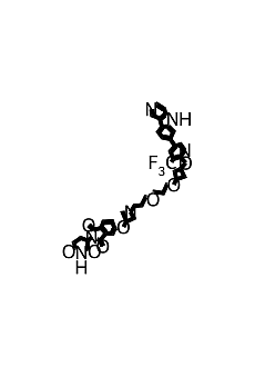 O=C1CCC(N2C(=O)c3ccc(OC4CN(CCCOCCCOC5CC(Oc6ncc(-c7ccc8c(c7)[nH]c7ccncc78)cc6C(F)(F)F)C5)C4)cc3C2=O)C(=O)N1